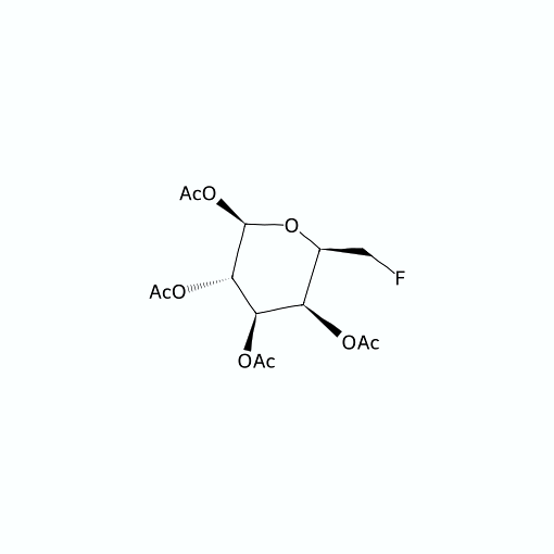 CC(=O)O[C@H]1O[C@@H](CF)[C@@H](OC(C)=O)[C@@H](OC(C)=O)[C@@H]1OC(C)=O